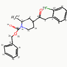 CC1CC(C(=O)Cc2ccccc2F)CCN1C(=O)OCc1ccccc1